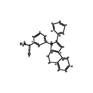 NC(=O)c1cccc(-n2c(-c3ccccc3)cc3c2CCc2ccccc2-3)c1